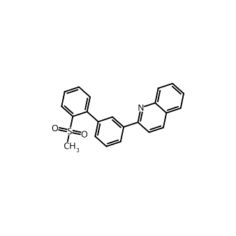 CS(=O)(=O)c1ccccc1-c1cccc(-c2ccc3ccccc3n2)c1